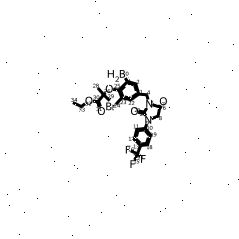 Bc1cc(CN2C(=O)CN(c3ccc(C(F)(F)F)cc3)C2=O)cc(Br)c1OC(C)(C)C(=O)OCC